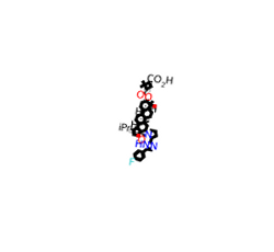 CC(C)[C@@H]1CC[C@]2(C(=O)N3CCCC3c3ncc(-c4ccc(F)cc4)[nH]3)CC[C@]3(C)[C@H](CC[C@@H]4[C@@]5(C)CC[C@H](OC(=O)[C@H]6C[C@@H](C(=O)O)C6(C)C)C(C)(C)[C@@H]5CC[C@]43C)[C@@H]12